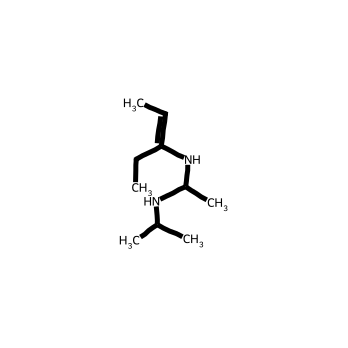 C/C=C(\CC)NC(C)NC(C)C